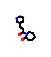 O=C1C=CCCCN1C(=O)C=Cc1cccnc1